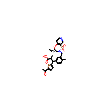 CC[C@@H]1CN(Cc2cc(C(c3ccc(C(C)=O)s3)C(C)C(=O)O)ccc2C)S(=O)(=O)c2cnccc2O1